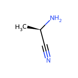 C[C@@H](N)C#N